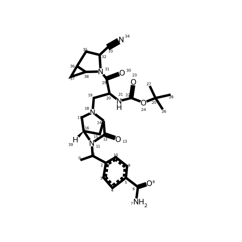 CC(c1ccc(C(N)=O)cc1)N1C(=O)C2C[C@H]1CN2CC(NC(=O)OC(C)(C)C)C(=O)N1C(C#N)CC2CC21